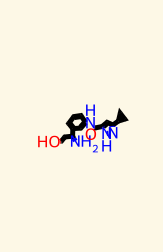 NC(CCO)c1cccc(NC(=O)c2cc(C3CC3)n[nH]2)c1